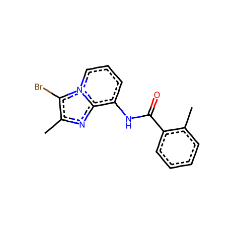 Cc1ccccc1C(=O)Nc1cccn2c(Br)c(C)nc12